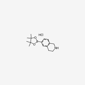 CC1(C)OB(c2ccc3c(c2)CCNC3)OC1(C)C.Cl